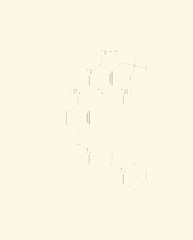 CNc1nc(Nc2ccc(C(=O)N3CCC(N4CCOCC4)CC3)c3c2OCCO3)nc2[nH]cc(C(F)(F)F)c12